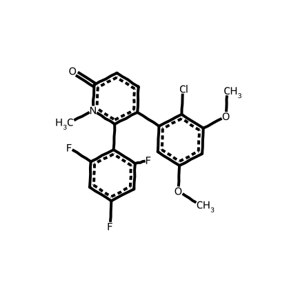 COc1cc(OC)c(Cl)c(-c2ccc(=O)n(C)c2-c2c(F)cc(F)cc2F)c1